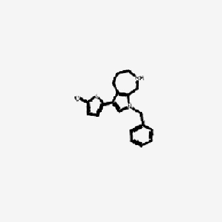 Clc1ccc(-c2cn(Cc3ccccc3)c3c2CCCNC3)s1